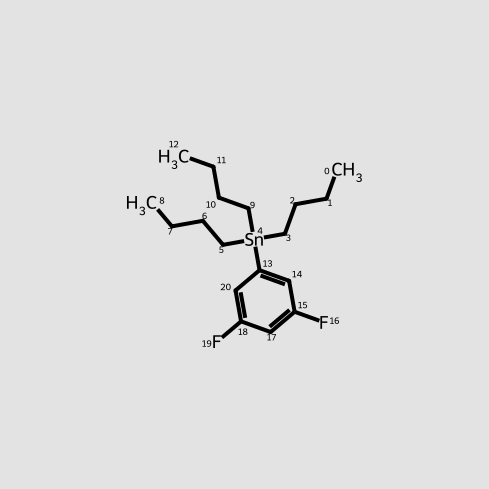 CCC[CH2][Sn]([CH2]CCC)([CH2]CCC)[c]1cc(F)cc(F)c1